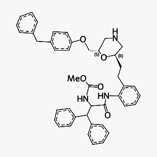 COC(=O)NC(C(=O)Nc1ccccc1CC[C@@H]1CNC[C@@H](COc2ccc(Cc3ccccc3)cc2)O1)C(c1ccccc1)c1ccccc1